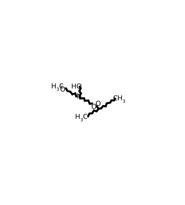 CCCCCCCCC(CCCCCC)C(=O)OCCCCCCN(CCCO)CCCCCCOC